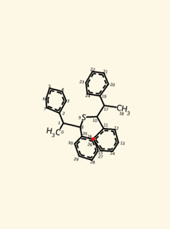 CC(c1ccccc1)C(SC(c1ccccc1)C(C)c1ccccc1)c1ccccc1